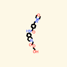 O=C(CN1CCc2ccc(NC(=O)c3ccc(C=NN4CCOCC4)cc3)cc2C1)OCCO